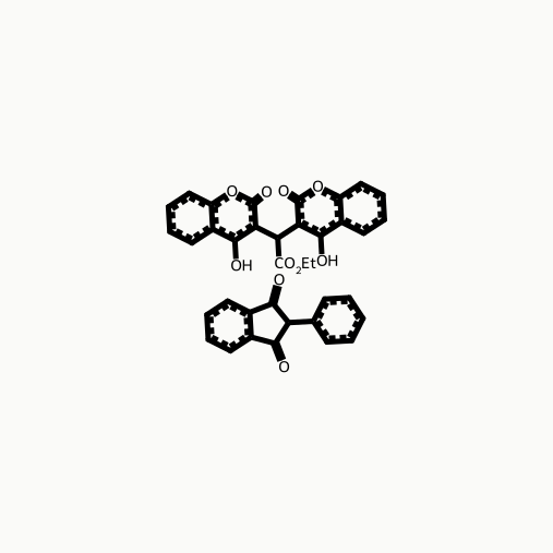 CCOC(=O)C(c1c(O)c2ccccc2oc1=O)c1c(O)c2ccccc2oc1=O.O=C1c2ccccc2C(=O)C1c1ccccc1